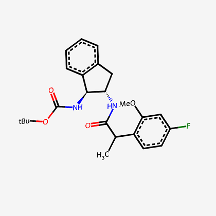 COc1cc(F)ccc1C(C)C(=O)N[C@H]1Cc2ccccc2[C@@H]1NC(=O)OC(C)(C)C